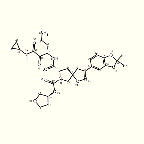 CCC[C@H](NC(=O)[C@@H]1C[C@]2(CC(c3ccc4c(c3)OC(F)(F)O4)=NO2)CN1C(=O)O[C@H]1CCOC1)C(=O)C(=O)NC1CC1